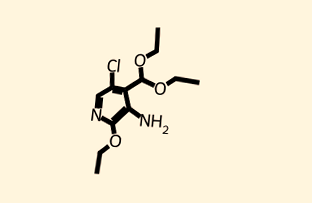 CCOc1ncc(Cl)c(C(OCC)OCC)c1N